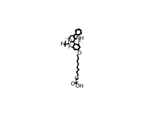 C[C@@H]1Cc2c([nH]c3ccccc23)[C@@H](c2c(F)cc(OCCCCCCCCOCC(=O)O)cc2F)N1CC(C)(C)F